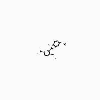 COC(=O)c1ccc(/C(N)=N/O)nc1-c1nc2cc(SC(F)(F)F)ccc2n1C